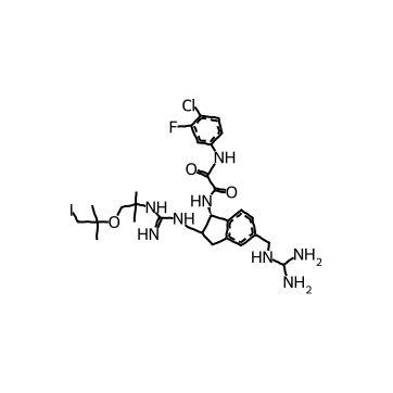 CC(C)(COC(C)(C)CI)NC(=N)NCC1Cc2cc(CNC(N)N)ccc2[C@@H]1NC(=O)C(=O)Nc1ccc(Cl)c(F)c1